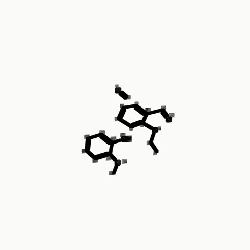 C=O.CCOc1ccccc1C=O.COc1ccccc1O